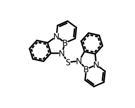 C1=CB2N(C=C1)c1ccccc1N2SN1B2C=CC=CN2c2ccccc21